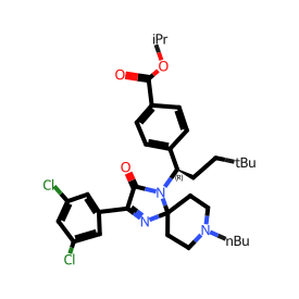 CCCCN1CCC2(CC1)N=C(c1cc(Cl)cc(Cl)c1)C(=O)N2[C@H](CCC(C)(C)C)c1ccc(C(=O)OC(C)C)cc1